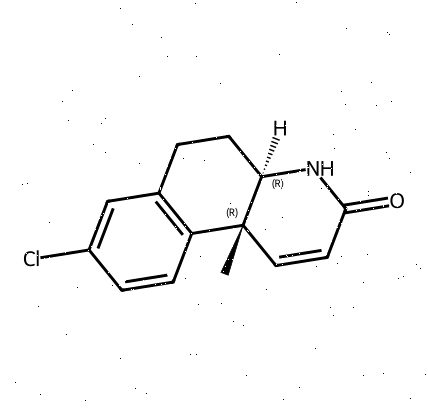 C[C@]12C=CC(=O)N[C@@H]1CCc1cc(Cl)ccc12